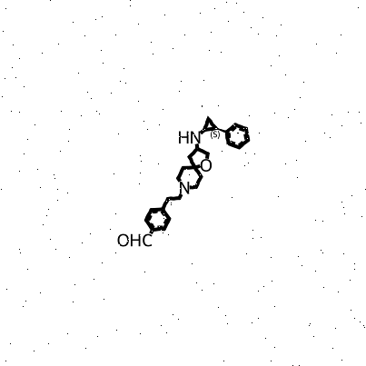 O=Cc1ccc(CCN2CCC3(CC2)CC(NC2C[C@H]2c2ccccc2)CO3)cc1